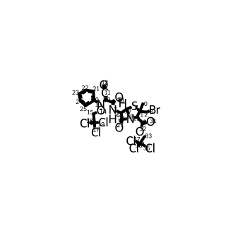 CC1(CBr)S[C@@H]2C(NC(=O)C(=C=O)N(OCC(Cl)(Cl)Cl)c3ccccc3)C(=O)N2C1C(=O)OCC(Cl)(Cl)Cl